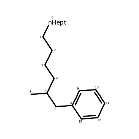 CCCCCCCCCCCC(C)Cc1ccccc1